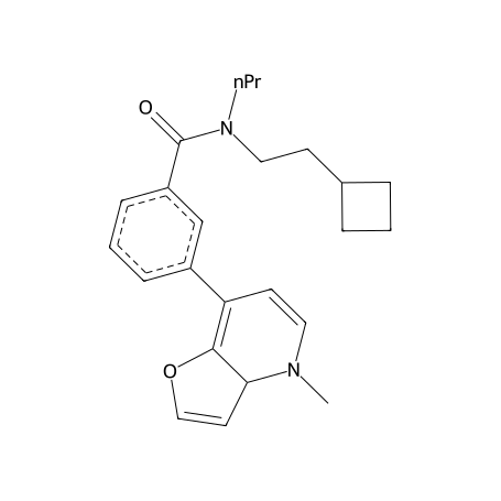 CCCN(CCC1CCC1)C(=O)c1cccc(C2=C3OC=CC3N(C)C=C2)c1